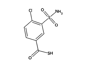 NS(=O)(=O)c1cc(C(=O)S)ccc1Cl